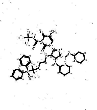 Cc1cn([C@@H]2O[C@H](COC3CCCCO3)[C@@H](OC3CCCCO3)C2OCCCC(C)(C)[Si](O)(c2ccccc2)c2ccccc2)c(=O)n(C(=O)OC(C)(C)C)c1=O